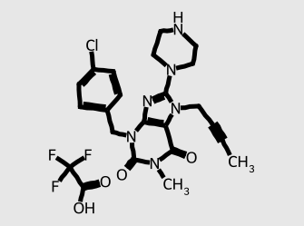 CC#CCn1c(N2CCNCC2)nc2c1c(=O)n(C)c(=O)n2Cc1ccc(Cl)cc1.O=C(O)C(F)(F)F